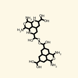 NC1OC(N)C2CC(C(O)OOC(O)C3CC4CC(C(O)O)NC5C(N)OC(N)C(N3)C45)CC3CC(C(O)O)CC1C32